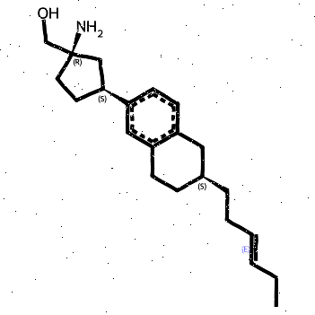 CC/C=C/CC[C@H]1CCc2cc([C@H]3CC[C@](N)(CO)C3)ccc2C1